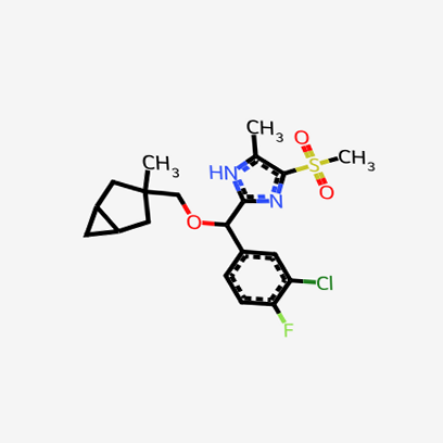 Cc1[nH]c(C(OCC2(C)CC3CC3C2)c2ccc(F)c(Cl)c2)nc1S(C)(=O)=O